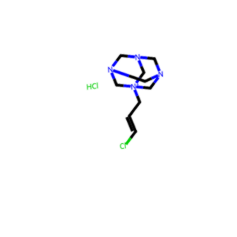 Cl.ClC=CC[N+]12CN3CN(CN(C3)C1)C2